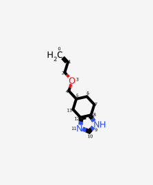 C=CCOCC1CCc2[nH]cnc2C1